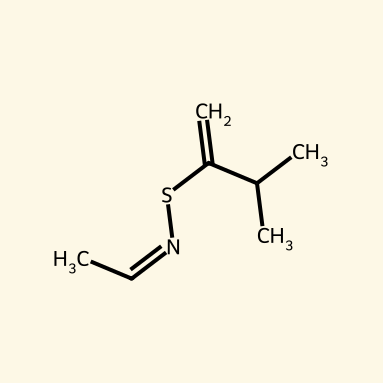 C=C(S/N=C\C)C(C)C